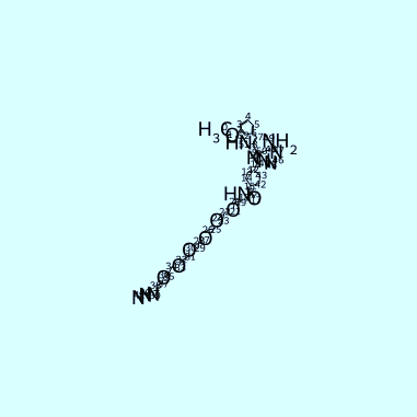 COc1cccc2cc(-c3nc(C4CCC(C(=O)NCCOCCOCCOCCOCCOCCOCCN=[N+]=[N-])CC4)n4ncnc(N)c34)[nH]c12